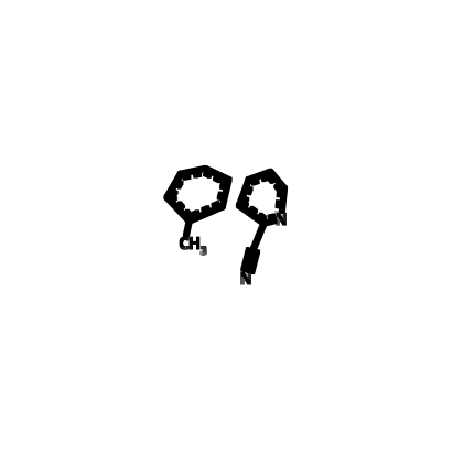 Cc1ccccc1.N#Cc1ccccn1